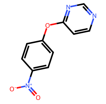 O=[N+]([O-])c1ccc(Oc2ccncn2)cc1